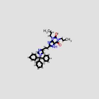 CCCn1c(=O)c2[nH]c(/C=C/c3cn(C(c4ccccc4)(c4ccccc4)c4ccccc4)cn3)nc2n(CCC)c1=O